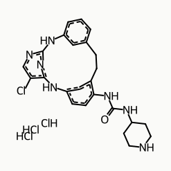 Cl.Cl.Cl.O=C(Nc1ccc2cc1CCc1cccc(c1)Nc1ncc(Cl)c(n1)N2)NC1CCNCC1